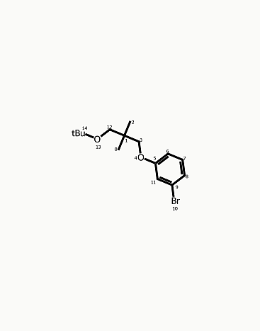 CC(C)(COc1cccc(Br)c1)COC(C)(C)C